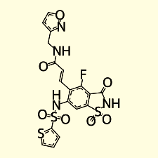 O=C(C=Cc1c(NS(=O)(=O)c2cccs2)cc2c(c1F)C(=O)NS2(=O)=O)NCc1ccon1